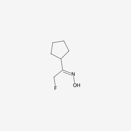 ON=C(CF)C1CCCC1